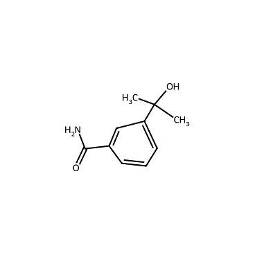 CC(C)(O)c1cccc(C(N)=O)c1